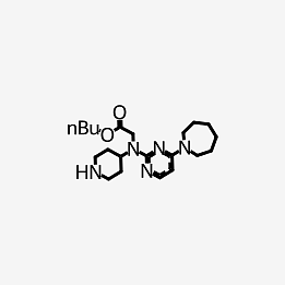 CCCCOC(=O)CN(c1nccc(N2CCCCCC2)n1)C1CCNCC1